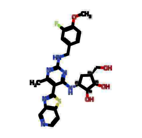 COc1ccc(CNc2nc(C)c(-c3nc4cnccc4s3)c(N[C@@H]3C[C@H](CO)[C@@H](O)[C@H]3O)n2)cc1F